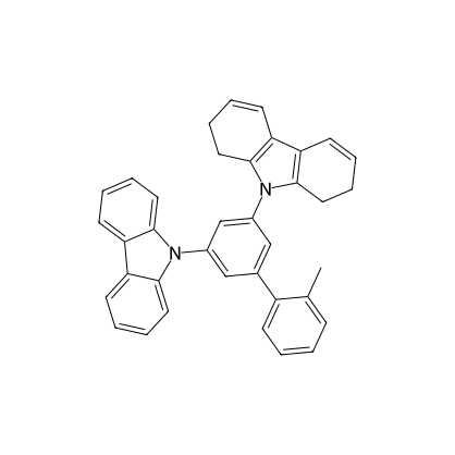 Cc1ccccc1-c1cc(-n2c3c(c4c2CCC=C4)C=CCC3)cc(-n2c3ccccc3c3ccccc32)c1